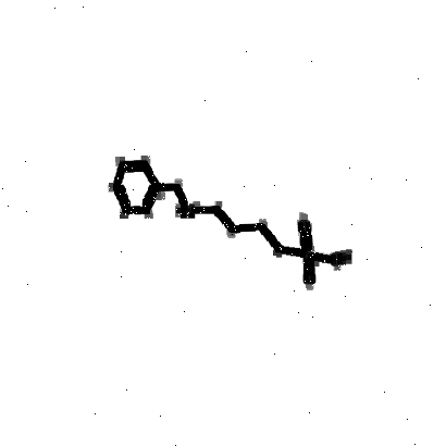 O=S(=O)(O)CCCCNCc1ccccc1